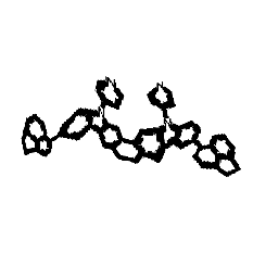 C1=C2CCc3cccc(c32)C(c2ccc3c(c2)c2cc4c(cc2n3-c2ccncc2)-c2cc3c(cc2CC4)c2cc(-c4ccc5c6c(cccc46)CC5)ccc2n3-c2ccncc2)C1